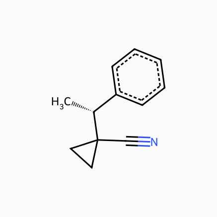 C[C@H](c1ccccc1)C1(C#N)CC1